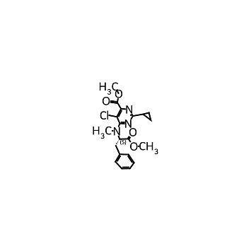 COC(=O)c1nc(C2CC2)nc(N(C)[C@@H](Cc2ccccc2)C(=O)OC)c1Cl